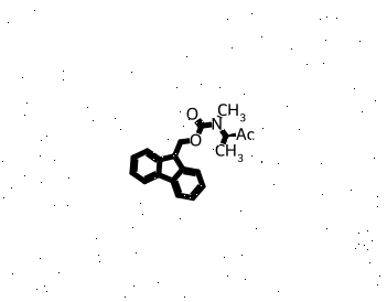 CC(=O)[C@@H](C)N(C)C(=O)OCC1c2ccccc2-c2ccccc21